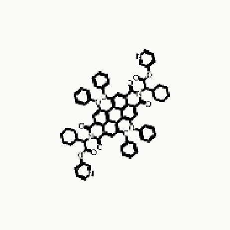 O=C(Oc1cccnc1)C(C1CCCCC1)N1C(=O)c2cc(Oc3ccccc3)c3c4c(Oc5ccccc5)cc5c6c(cc(Oc7ccccc7)c(c7c(Oc8ccccc8)cc(c2c37)C1=O)c64)C(=O)N(C(C(=O)Oc1cccnc1)C1CCCCC1)C5=O